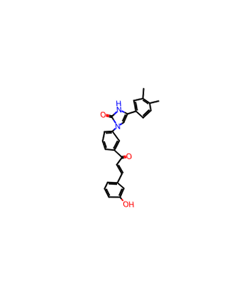 Cc1ccc(-c2cn(-c3cccc(C(=O)C=Cc4cccc(O)c4)c3)c(=O)[nH]2)cc1C